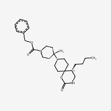 CCCC[C@H]1CNC(=O)OC12CCN(C1(C)CCN(C(=O)OCc3ccccc3)CC1)CC2